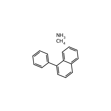 C.N.c1ccc(-c2cccc3ccccc23)cc1